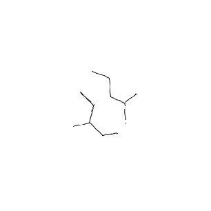 CCC(C)CC.CCCC(C)C